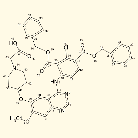 COc1cc2ncnc(Nc3ccc(C(=O)OCc4ccccc4)c(Cl)c3C(=O)OCc3ccccc3)c2cc1OC1CCN(CC(=O)O)CC1